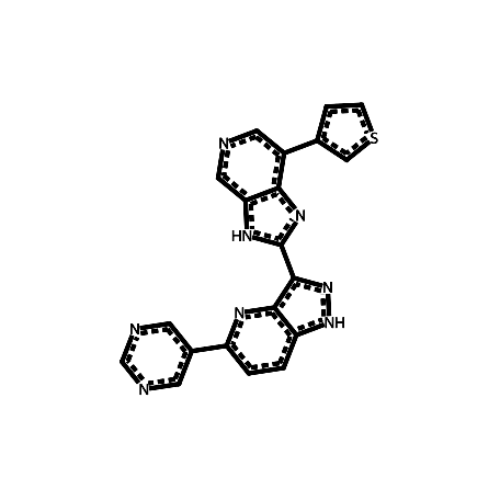 c1ncc(-c2ccc3[nH]nc(-c4nc5c(-c6ccsc6)cncc5[nH]4)c3n2)cn1